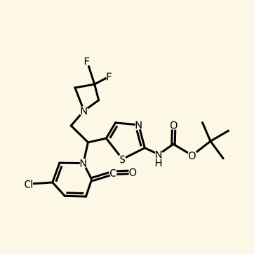 CC(C)(C)OC(=O)Nc1ncc(C(CN2CC(F)(F)C2)N2C=C(Cl)C=CC2=C=O)s1